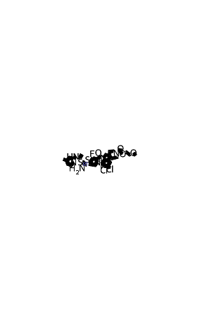 C=C(Nc1cc(C)ccn1)S/C(=C\N)Sc1ccnc(C(=O)NCC2(c3ccc(Cl)c(Cl)c3)CCN(C(=O)OCCOC)CC2)c1F